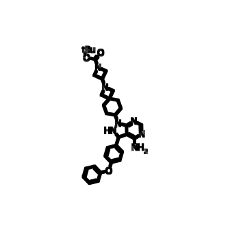 CC(C)(C)OC(=O)N1CC(N2CC3(CCC(N4NC(c5ccc(Oc6ccccc6)cc5)c5c(N)ncnc54)CC3)C2)C1